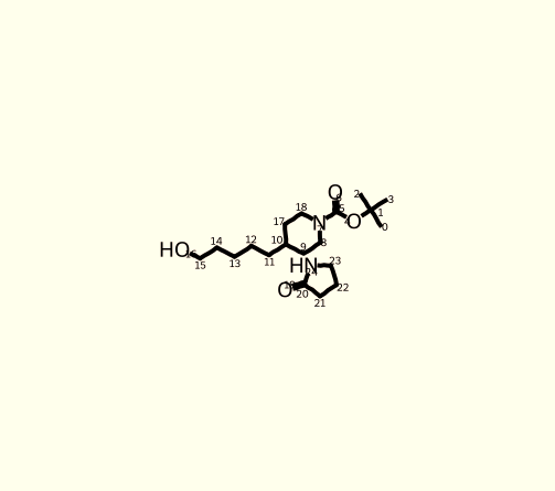 CC(C)(C)OC(=O)N1CCC(CCCCCO)CC1.O=C1CCCN1